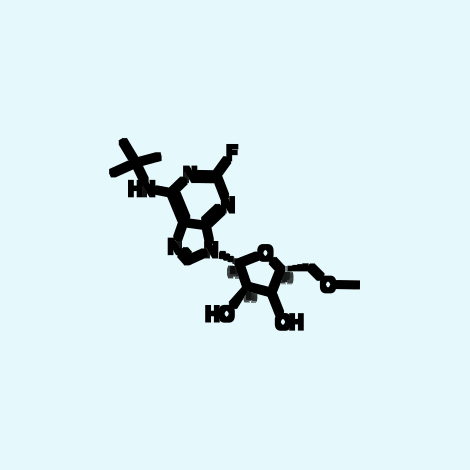 COC[C@H]1O[C@@H](n2cnc3c(NC(C)(C)C)nc(F)nc32)[C@H](O)C1O